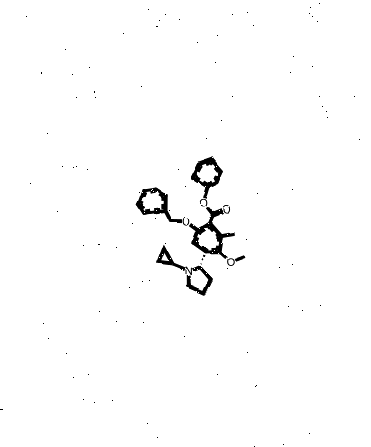 COc1c([C@@H]2CCCN2C2CC2)cc(OCc2ccccc2)c(C(=O)Oc2ccccc2)c1C